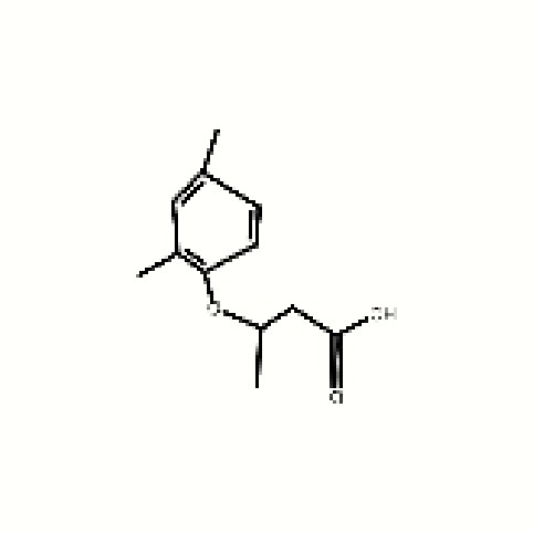 Cc1ccc(OC(C)CC(=O)O)c(C)c1